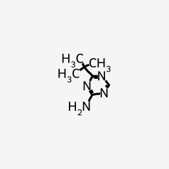 CC(C)(C)c1ncnc(N)n1